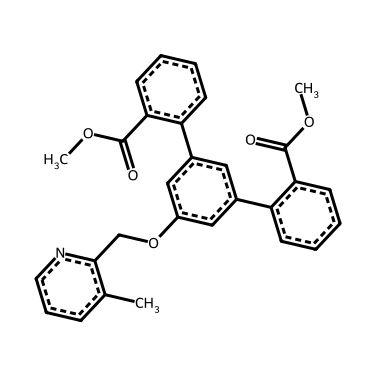 COC(=O)c1ccccc1-c1cc(OCc2ncccc2C)cc(-c2ccccc2C(=O)OC)c1